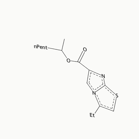 CCCCCC(C)OC(=O)c1cn2c(CC)csc2n1